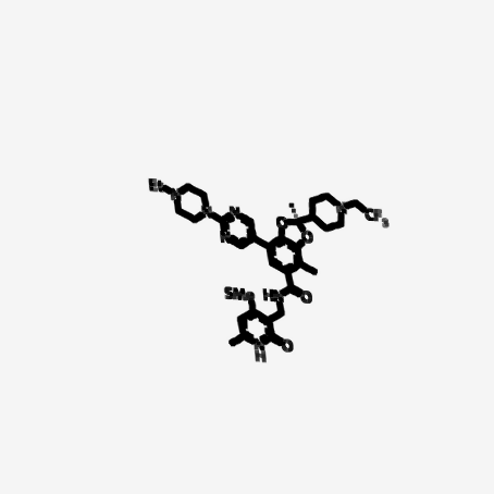 CCN1CCN(c2ncc(-c3cc(C(=O)NCc4c(SC)cc(C)[nH]c4=O)c(C)c4c3O[C@@](C)(C3CCN(CC(F)(F)F)CC3)O4)cn2)CC1